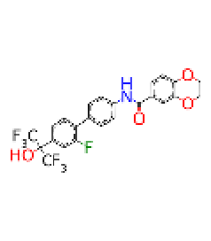 O=C(Nc1ccc(-c2ccc(C(O)(C(F)(F)F)C(F)(F)F)cc2F)cc1)c1ccc2c(c1)OCCO2